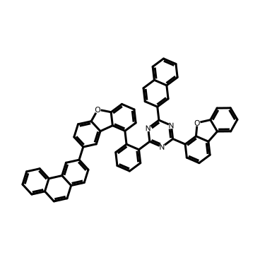 c1ccc(-c2cccc3oc4ccc(-c5ccc6ccc7ccccc7c6c5)cc4c23)c(-c2nc(-c3ccc4ccccc4c3)nc(-c3cccc4c3oc3ccccc34)n2)c1